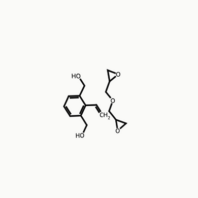 C(OCC1CO1)C1CO1.C=Cc1c(CO)cccc1CO